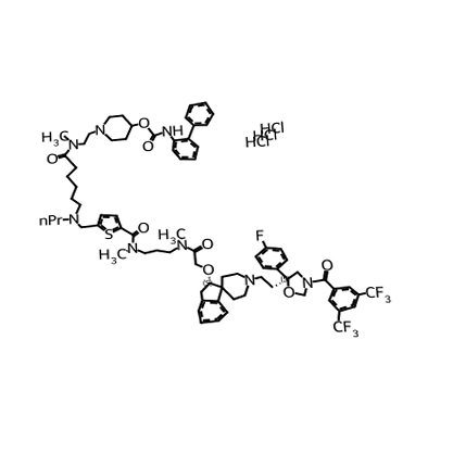 CCCN(CCCCCC(=O)N(C)CCN1CCC(OC(=O)Nc2ccccc2-c2ccccc2)CC1)Cc1ccc(C(=O)N(C)CCCN(C)C(=O)CO[C@H]2Cc3ccccc3C23CCN(CC[C@]2(c4ccc(F)cc4)CN(C(=O)c4cc(C(F)(F)F)cc(C(F)(F)F)c4)CO2)CC3)s1.Cl.Cl.Cl